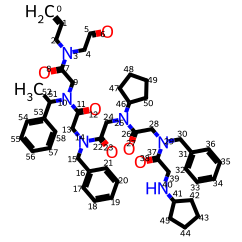 C=CCN(CC=O)C(=O)CN(C(=O)CN(Cc1ccccc1)C(=O)CN(C(=O)CN(Cc1ccccc1)C(=O)CNC1CCCC1)C1CCCC1)C(C)c1ccccc1